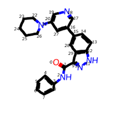 O=C(Nc1ccccc1)c1n[nH]c2ccc(-c3cncc(N4CCCCC4)c3)cc12